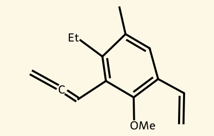 C=C=Cc1c(CC)c(C)cc(C=C)c1OC